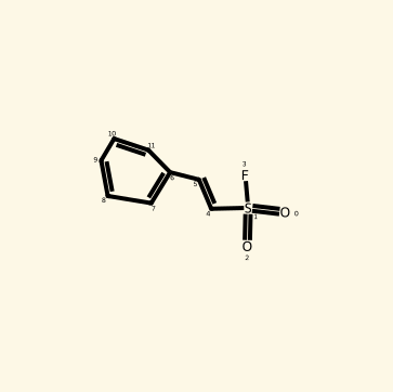 O=S(=O)(F)C=Cc1ccccc1